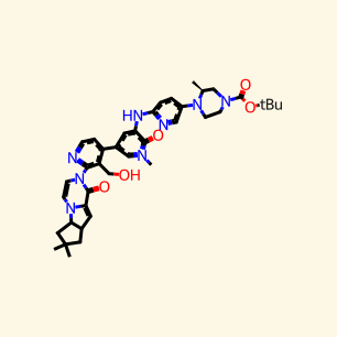 C[C@H]1CN(C(=O)OC(C)(C)C)CCN1c1ccc(Nc2cc(-c3ccnc(N4C=CN5C(=CC6CC(C)(C)CC65)C4=O)c3CO)cn(C)c2=O)nc1